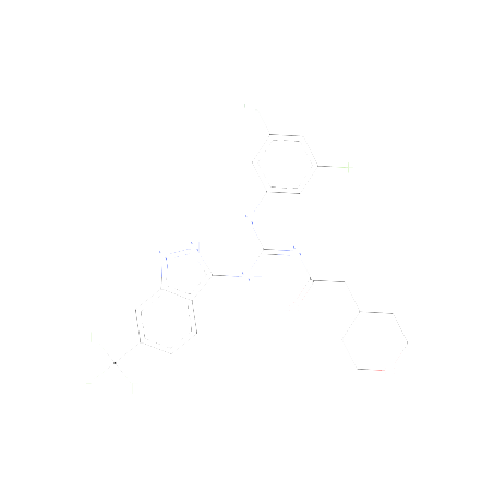 O=C(CC1CCOCC1)/N=C(/Nc1cc(F)cc(Cl)c1)Nc1n[nH]c2cc(C(F)(F)F)ccc12